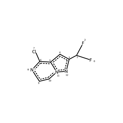 FC(F)c1cc2c(Cl)nccn2n1